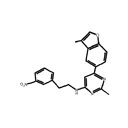 Cc1nc(NCCc2cccc([N+](=O)[O-])c2)cc(-c2ccc3occ(C)c3c2)n1